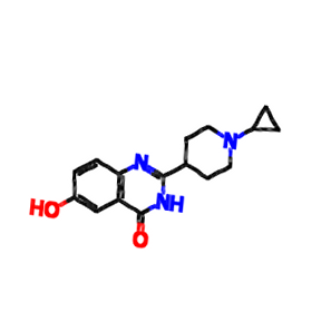 O=c1[nH]c(C2CCN(C3CC3)CC2)nc2ccc(O)cc12